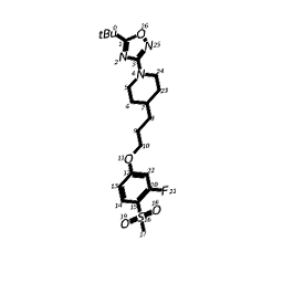 CC(C)(C)c1nc(N2CCC(CCCOc3ccc(S(C)(=O)=O)c(F)c3)CC2)no1